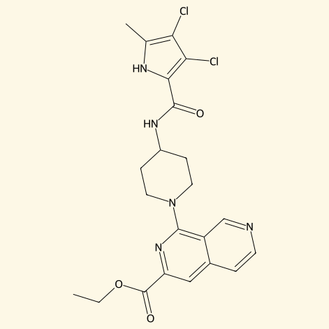 CCOC(=O)c1cc2ccncc2c(N2CCC(NC(=O)c3[nH]c(C)c(Cl)c3Cl)CC2)n1